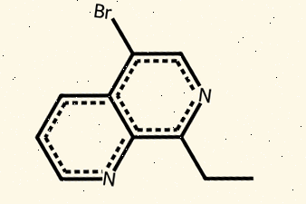 CCc1ncc(Br)c2cccnc12